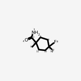 CC1(C(N)=O)CCC(F)(F)CC1